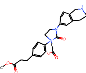 COC(=O)CCc1ccc([N+]2(CC(=O)[O-])CCN(c3ccc4c(c3)CCNC4)C2=O)cc1